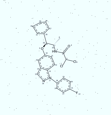 C[C@H](NC(=O)C(Cl)Cl)[C@@H](Oc1ccc2c(cnn2-c2ccc(F)cc2)c1)c1ccccc1